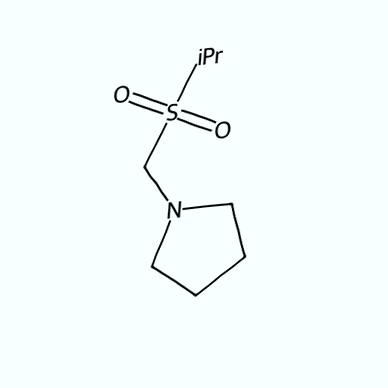 CC(C)S(=O)(=O)CN1CCCC1